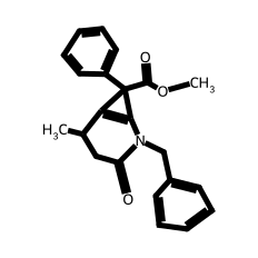 COC(=O)C1(c2ccccc2)C2=C1N(Cc1ccccc1)C(=O)CC2C